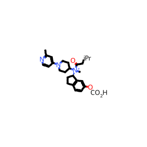 Cc1cc(N2CCC([N+](C)(C(=O)CC(C)C)[C@@H]3CCc4ccc(OC(=O)O)cc43)CC2)ccn1